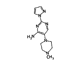 CN1CCN(c2cnc(-n3cccn3)nc2N)CC1